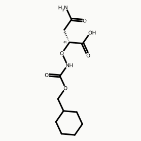 NC(=O)C[C@@H](ONC(=O)OCC1CCCCC1)C(=O)O